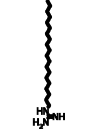 CCCCCCCCCCCCCCCCCCCCNC(=N)N